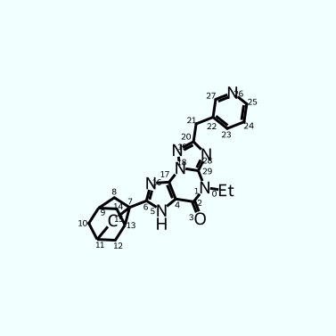 CCn1c(=O)c2[nH]c(C34CC5CC(CC3C5)C4)nc2n2nc(Cc3cccnc3)nc12